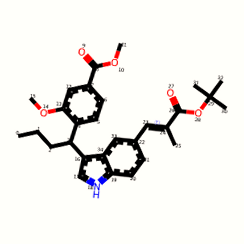 CCCC(c1ccc(C(=O)OC)cc1OC)c1c[nH]c2ccc(/C=C(\C)C(=O)OC(C)(C)C)cc12